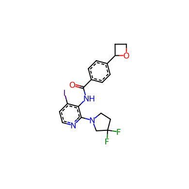 O=C(Nc1c(I)ccnc1N1CCC(F)(F)C1)c1ccc(C2CCO2)cc1